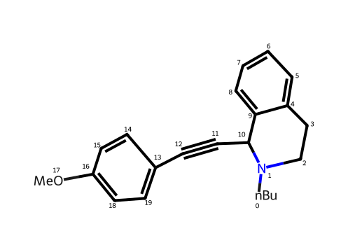 CCCCN1CCc2ccccc2C1C#Cc1ccc(OC)cc1